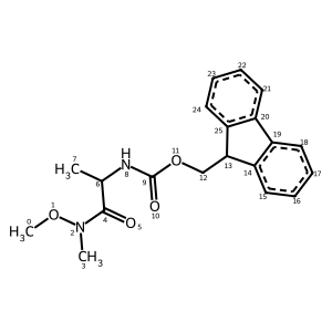 CON(C)C(=O)C(C)NC(=O)OCC1c2ccccc2-c2ccccc21